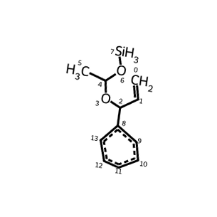 C=CC(OC(C)O[SiH3])c1ccccc1